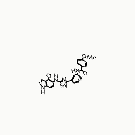 COc1ccc(C(=O)Nc2cc(-c3nsc(Nc4ccc5[nH]ncc5c4Cl)n3)ccn2)cc1